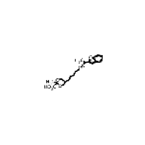 CC(=NOCCCCCC1COC(C)(C(=O)O)OC1)c1cc2ccccc2o1